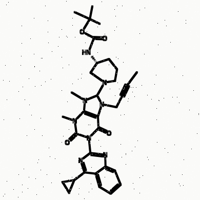 CC#CCN1c2c(n(C)c(=O)n(-c3nc(C4CC4)c4ccccc4n3)c2=O)N(C)C1N1CCC[C@@H](NC(=O)OC(C)(C)C)C1